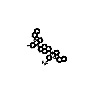 Cc1ccc(N(c2ccc3ccc4c(N(c5ccc(C(F)(F)F)cc5)c5cccc6c5oc5ccc7ccccc7c56)ccc5ccc2c3c54)c2cccc3c2oc2ccc4ccccc4c23)cc1